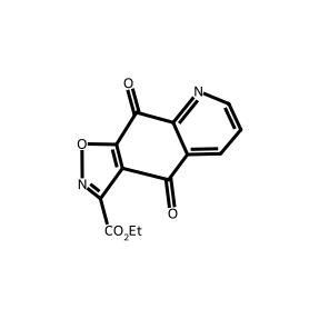 CCOC(=O)c1noc2c1C(=O)c1cccnc1C2=O